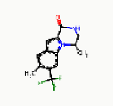 Cc1cc2cc3n(c2cc1C(F)(F)F)C(C)CNC3=O